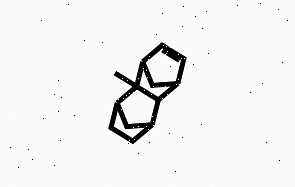 CC12C3C=CC(C3)C1C1CCC2C1